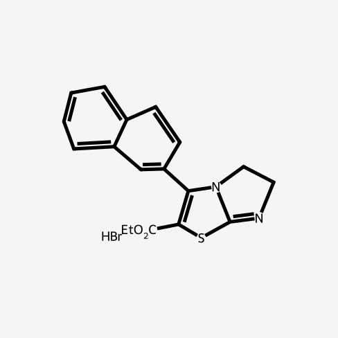 Br.CCOC(=O)C1=C(c2ccc3ccccc3c2)N2CCN=C2S1